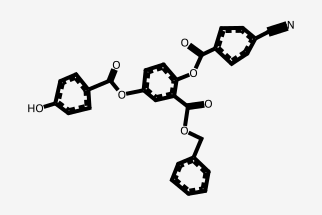 N#Cc1ccc(C(=O)Oc2ccc(OC(=O)c3ccc(O)cc3)cc2C(=O)OCc2ccccc2)cc1